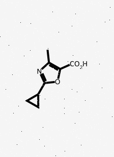 Cc1nc(C2CC2)oc1C(=O)O